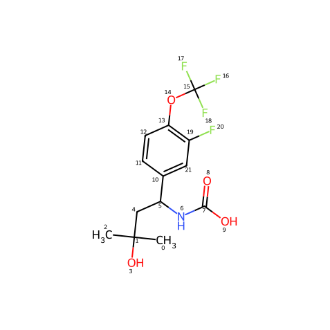 CC(C)(O)CC(NC(=O)O)c1ccc(OC(F)(F)F)c(F)c1